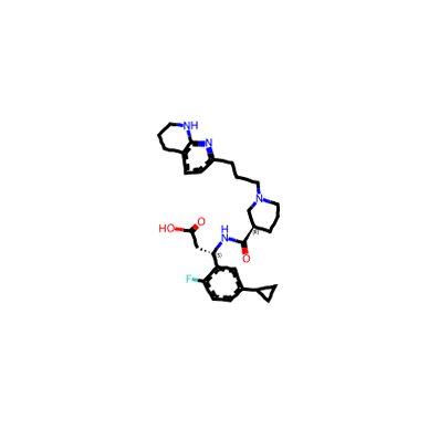 O=C(O)C[C@H](NC(=O)[C@@H]1CCCN(CCCc2ccc3c(n2)NCCC3)C1)c1cc(C2CC2)ccc1F